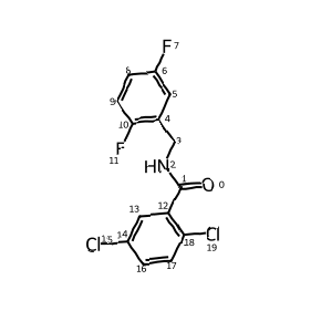 O=C(NCc1cc(F)ccc1F)c1cc(Cl)ccc1Cl